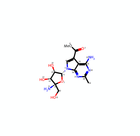 COC(=O)c1cn([C@@H]2O[C@](N)(CO)[C@@H](O)[C@H]2O)c2nc(C)nc(N)c12